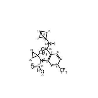 CC1(N(c2cc(C(F)(F)F)ccc2C(=O)NC23CC(C2)C3)[SH](=O)=O)CC1